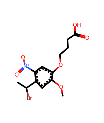 COc1cc(C(C)Br)c([N+](=O)[O-])cc1OCCCC(=O)O